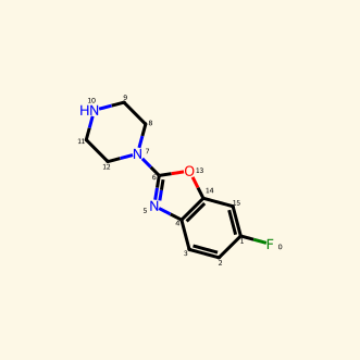 Fc1ccc2nc(N3CCNCC3)oc2c1